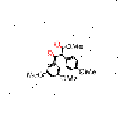 COC(=O)C(C(=O)c1cc(OC)cc(OC)c1)c1ccc(OC)cc1